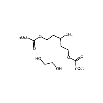 CCCCCCCCC(=O)OCCC(C)CCOC(=O)CCCCCCCC.OCCO